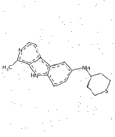 Cc1nccc2c1[nH]c1ccc(NC3CCSCC3)cc12